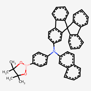 CC1(C)OB(c2ccc(N(c3ccc4c(c3)C3(c5ccccc5-c5ccccc53)c3ccccc3-4)c3ccc4ccccc4c3)cc2)OC1(C)C